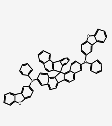 c1ccc(N(c2ccc3c4c(ccc3c2)-c2ccc3cc(N(c5ccccc5)c5ccc6oc7ccccc7c6c5)ccc3c2C42c3ccccc3-c3c2ccc2ccccc32)c2ccc3oc4ccccc4c3c2)cc1